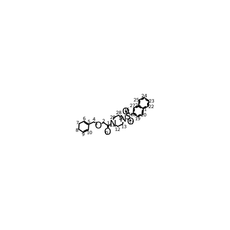 O=C(COCC1=CCCC=C1)N1CCN(S(=O)(=O)c2ccc3ccccc3c2)CC1